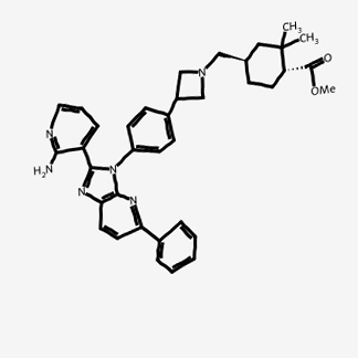 COC(=O)[C@@H]1CC[C@@H](CN2CC(c3ccc(-n4c(-c5cccnc5N)nc5ccc(-c6ccccc6)nc54)cc3)C2)CC1(C)C